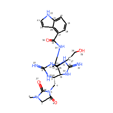 CN1CC(=O)N(C[C@@H]2NC(=N)N3CC(NC(=O)c4cccc5[nH]ccc45)C(CCO)C34NC(=N)NC24)C1=O